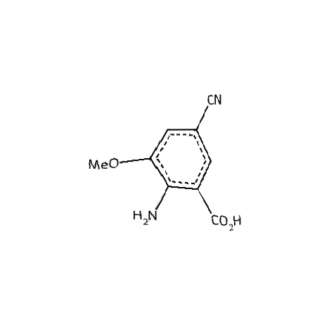 COc1cc(C#N)cc(C(=O)O)c1N